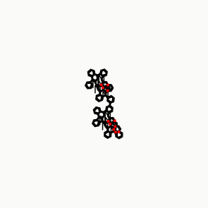 C1=CC(c2ccccc2)CC=C1n1c2ccc(-c3cccc(N4c5ccccc5-c5nc(-n6c7ccccc7c7c8ccccc8c8c9ccccc9n(-c9ccc%10ccccc%10c9)c8c76)nc6cccc4c56)c3)cc2c2c3ccccc3c3c4ccccc4n(-c4nc5c6c(cccc6n4)N(c4ccccc4)c4ccccc4-5)c3c21